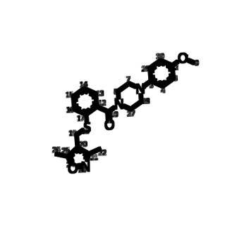 COc1ccc(N2CCN(C(=O)c3ccccc3SCc3c(C)noc3C)CC2)cc1